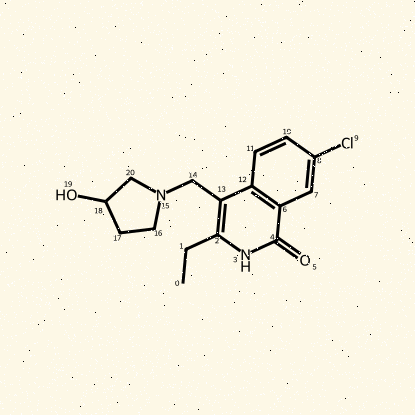 CCc1[nH]c(=O)c2cc(Cl)ccc2c1CN1CCC(O)C1